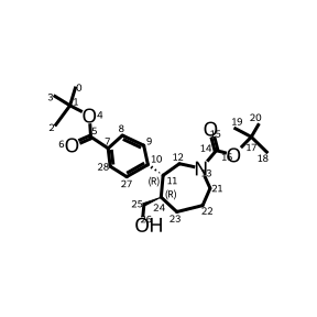 CC(C)(C)OC(=O)c1ccc([C@@H]2CN(C(=O)OC(C)(C)C)CCC[C@H]2CO)cc1